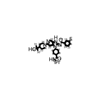 CC(C)NC(=O)C1CCC(n2/c(=N/C(=O)c3cccc(F)c3)[nH]c3cnc(N4CCC(C(C)(C)O)CC4)cc32)CC1